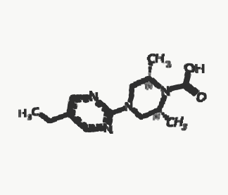 CCc1cnc(N2C[C@@H](C)N(C(=O)O)[C@@H](C)C2)nc1